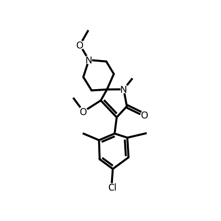 COC1=C(c2c(C)cc(Cl)cc2C)C(=O)N(C)C12CCN(OC)CC2